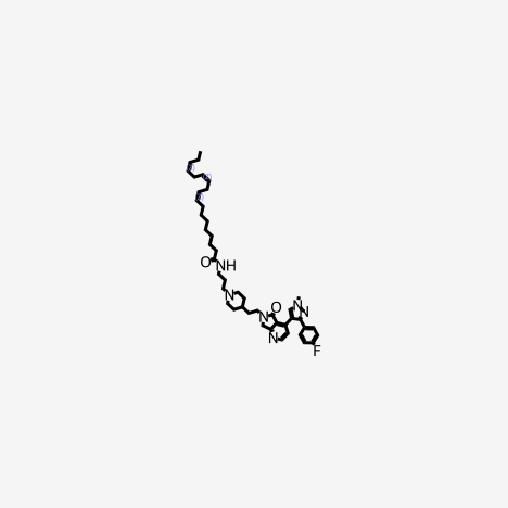 CC/C=C\C/C=C\C/C=C\CCCCCCCC(=O)NCCCN1CCC(CCN2Cc3nccc(-c4cn(C)nc4-c4ccc(F)cc4)c3C2=O)CC1